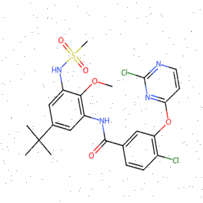 COc1c(NC(=O)c2ccc(Cl)c(Oc3ccnc(Cl)n3)c2)cc(C(C)(C)C)cc1NS(C)(=O)=O